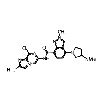 CNC1CCN(c2ccc(C(=O)Nc3cn4cc(C)nc4c(Cl)n3)c3nn(C)cc23)C1